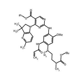 C=CC(=O)Nc1cc(Nc2ncc(C(=O)OC(C)C)c(N3CC(C)(C)c4nc(C)ccc43)n2)c(OC)cc1N(C)CCN(C)C(=O)OC(C)(C)C